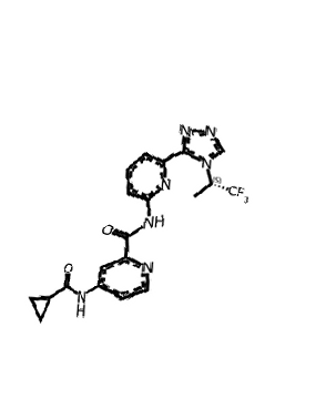 C[C@H](n1cnnc1-c1cccc(NC(=O)c2cc(NC(=O)C3CC3)ccn2)n1)C(F)(F)F